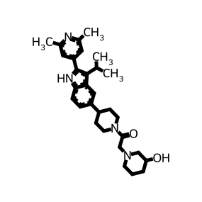 Cc1cc(-c2[nH]c3ccc(C4CCN(C(=O)CN5CCCC(O)C5)CC4)cc3c2C(C)C)cc(C)n1